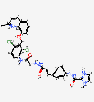 Cc1ccc2cccc(OCc3c(Cl)ccc(N(C)C(=O)CNC(=O)/C=C/c4ccc(NC(=O)c5nccn5C)cc4)c3Cl)c2n1